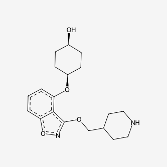 O[C@H]1CC[C@@H](Oc2cccc3onc(OCC4CCNCC4)c23)CC1